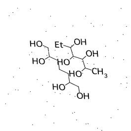 CCC(O)C(O)C(O)C(C)O.OCC(O)CCCC(O)CO